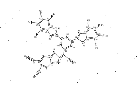 N#CC(=C1N=c2cc(C#N)c(C#N)cc2=N1)c1nc(-c2nc3c(F)c(F)c(F)c(F)c3o2)nc(-c2nc3c(F)c(F)c(F)c(F)c3o2)n1